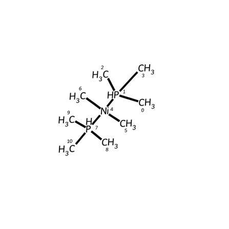 C[PH](C)(C)[Ni]([CH3])([CH3])[PH](C)(C)C